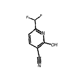 N#Cc1ccc(C(F)F)nc1O